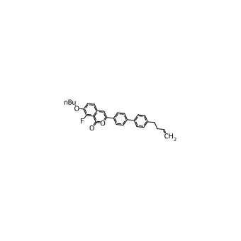 C=CCCc1ccc(-c2ccc(-c3cc4ccc(OCCCC)c(F)c4c(=O)o3)cc2)cc1